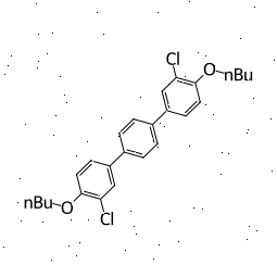 CCCCOc1ccc(-c2ccc(-c3ccc(OCCCC)c(Cl)c3)cc2)cc1Cl